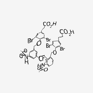 CS(=O)(=O)Nc1cc(COc2c(Br)cc(CCC(=O)O)cc2Br)cc(C(F)(F)F)c1.Cc1c(COc2c(Br)cc(CCC(=O)O)cc2Br)cccc1NS(C)(=O)=O